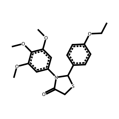 CCOc1ccc(C2SCC(=O)N2c2cc(OC)c(OC)c(OC)c2)cc1